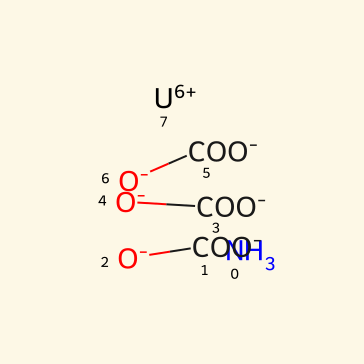 N.O=C([O-])[O-].O=C([O-])[O-].O=C([O-])[O-].[U+6]